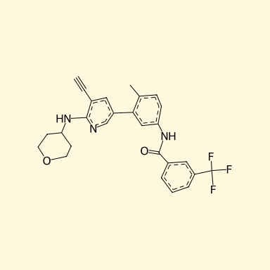 C#Cc1cc(-c2cc(NC(=O)c3cccc(C(F)(F)F)c3)ccc2C)cnc1NC1CCOCC1